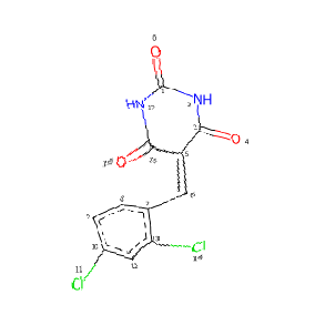 O=C1NC(=O)C(=Cc2ccc(Cl)cc2Cl)C(=O)N1